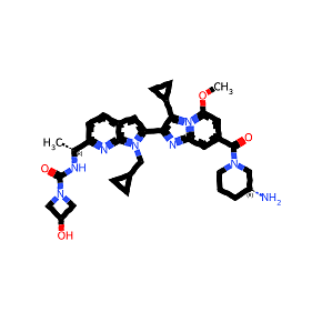 COc1cc(C(=O)N2CCC[C@@H](N)C2)cc2nc(-c3cc4ccc([C@@H](C)NC(=O)N5CC(O)C5)nc4n3CC3CC3)c(C3CC3)n12